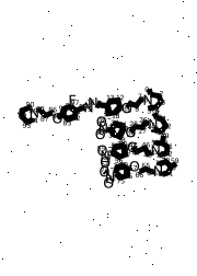 CC1CCCCN1CCCOc1ccc(C#N)cc1.CC1CCCCN1CCCOc1ccc([N+](=O)[O-])cc1.CC1CCCN(CCCOc2ccc([N+](=O)[O-])cc2)C1.CC1CCN(CCCOc2ccc([N+](=O)[O-])cc2)CC1.N#Cc1ccc(OCCCN2CCCCC2)cc1F